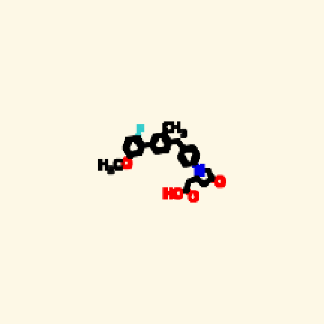 COc1ccc(F)c(-c2ccc(Cc3ccc(N4CC(=O)CC4CC(=O)O)cc3)c(C)c2)c1